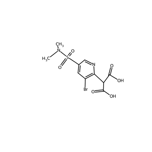 CN(C)S(=O)(=O)c1cnc(C(C(=O)O)C(=O)O)c(Br)c1